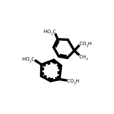 CC1(C(=O)O)C=CC=C(C(=O)O)C1.O=C(O)c1ccc(C(=O)O)cc1